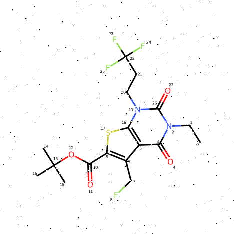 CCn1c(=O)c2c(CF)c(C(=O)OC(C)(C)C)sc2n(CCC(F)(F)F)c1=O